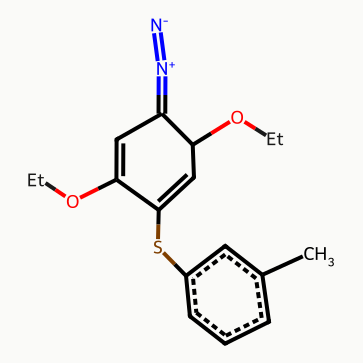 CCOC1=CC(=[N+]=[N-])C(OCC)C=C1Sc1cccc(C)c1